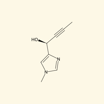 CC#C[C@H](O)c1cn(C)cn1